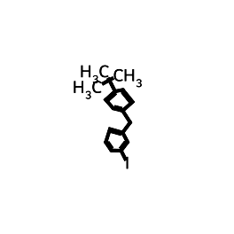 CC(C)(C)c1ccc(Cc2cccc(I)c2)cc1